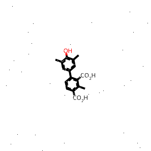 Cc1cc(-c2ccc(C(=O)O)c(C)c2C(=O)O)cc(C)c1O